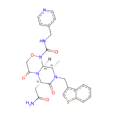 C[C@H]1[C@@H]2N(C(=O)NCc3ccncc3)OCC(=O)N2[C@@H](CC(N)=O)C(=O)N1Cc1csc2ccccc12